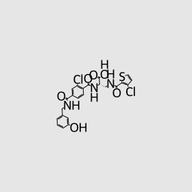 O=C(NCc1cccc(O)c1)c1ccc(C(=O)N[C@@H](CNC(=O)c2sccc2Cl)C(=O)O)c(Cl)c1